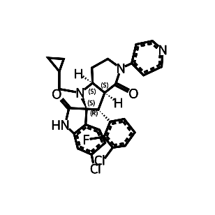 O=C1[C@@H]2[C@H](CCN1c1ccncc1)N(CC1CC1)[C@@]1(C(=O)Nc3cc(Cl)ccc31)[C@H]2c1cccc(Cl)c1F